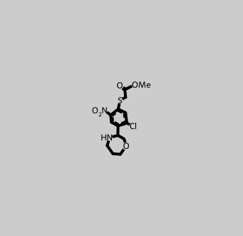 COC(=O)CSc1cc(Cl)c(C2COCCCN2)cc1[N+](=O)[O-]